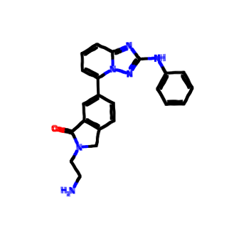 NCCN1Cc2ccc(-c3cccc4nc(Nc5ccccc5)nn34)cc2C1=O